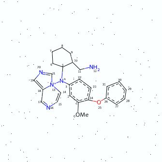 COc1cc(N(C2CCCCC2CN)[N+]23C=CN=CC2=CN=C3)ccc1Oc1ccccc1